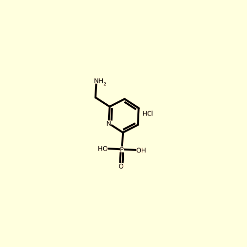 Cl.NCc1cccc(P(=O)(O)O)n1